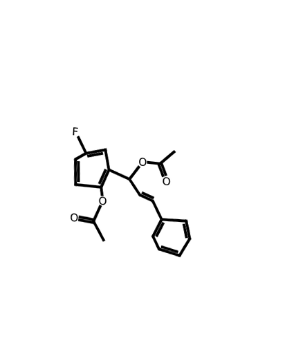 CC(=O)Oc1ccc(F)cc1C(C=Cc1ccccc1)OC(C)=O